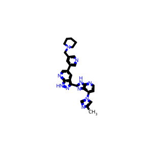 Cc1cn(-c2ccnc3[nH]c(-c4n[nH]c5ncc(-c6cncc(CN7CCCCC7)c6)cc45)nc23)cn1